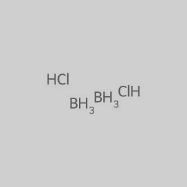 B.B.Cl.Cl